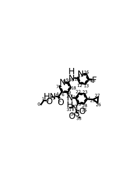 CCONC(=O)c1cnc(Nc2ccc(F)cn2)cc1Nc1ccc(C2CC2)cc1N(C)S(C)(=O)=O